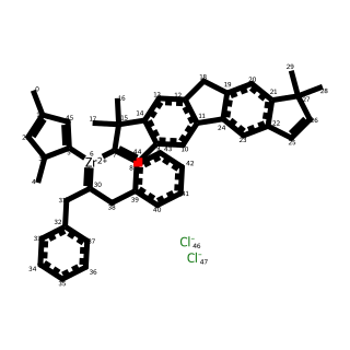 CC1=CC(C)[C]([Zr+2]([C]2=Cc3cc4c(cc3C2(C)C)Cc2cc3c(cc2-4)C=CC3(C)C)=[C](Cc2ccccc2)Cc2ccccc2)=C1.[Cl-].[Cl-]